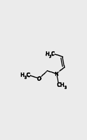 C/C=C\N(C)COC